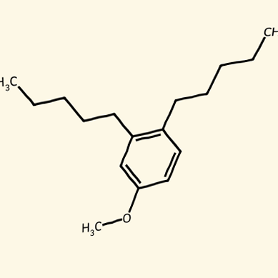 CCCCCc1ccc(OC)cc1CCCCC